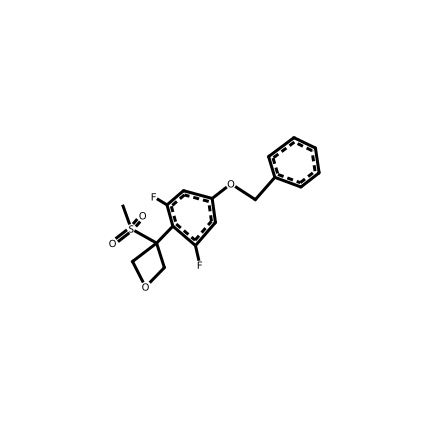 CS(=O)(=O)C1(c2c(F)cc(OCc3ccccc3)cc2F)COC1